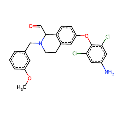 COc1cccc(CN2CCc3cc(Oc4c(Cl)cc(N)cc4Cl)ccc3C2C=O)c1